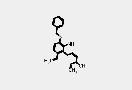 C=Cc1ccc(SCc2ccccc2)c(N)c1C/C=C\C(C)C=C